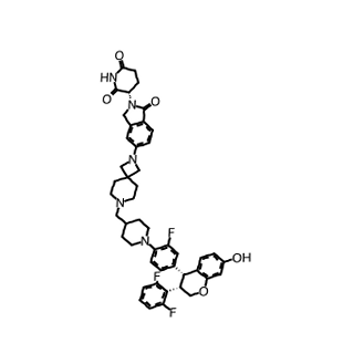 O=C1CC[C@H](N2Cc3cc(N4CC5(CCN(CC6CCN(c7ccc([C@@H]8c9ccc(O)cc9OC[C@@H]8c8c(F)cccc8F)cc7F)CC6)CC5)C4)ccc3C2=O)C(=O)N1